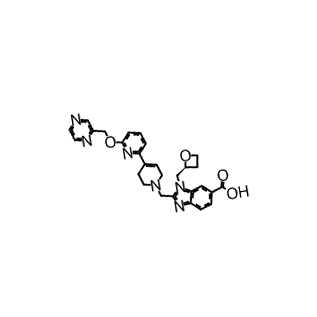 O=C(O)c1ccc2nc(CN3CC=C(c4cccc(OCc5cnccn5)n4)CC3)n(C[C@@H]3CCO3)c2c1